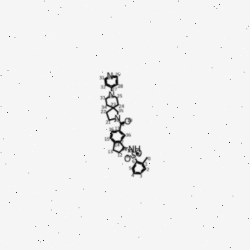 Cc1ccccc1S(=O)(=O)N[C@@H]1CCc2ccc(C(=O)N3CCC4(CCN(c5ccncc5)CC4)C3)cc21